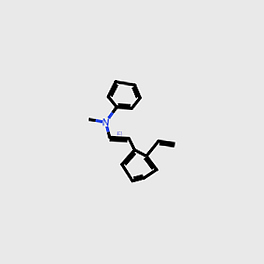 C=Cc1ccccc1/C=C/N(C)c1ccccc1